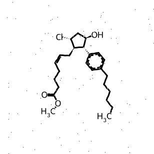 CCCCCCc1ccc([C@@H]2[C@@H](C/C=C\CCCC(=O)OC)[C@H](Cl)C[C@H]2O)cc1